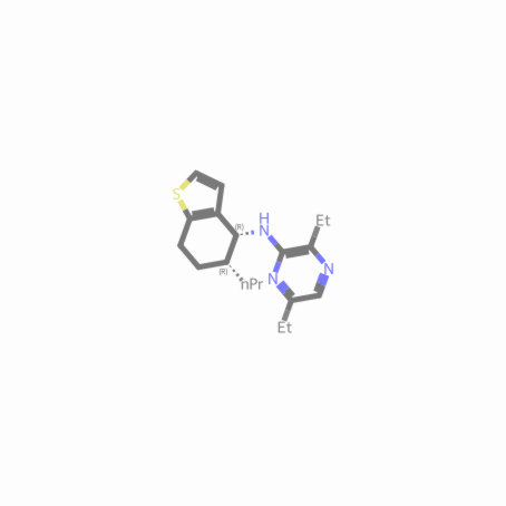 CCC[C@@H]1CCc2sccc2[C@@H]1Nc1nc(CC)cnc1CC